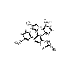 CCNC(=O)Nc1ncc(-c2cncc(C(=O)O)c2)c(-c2nc(C(F)(F)F)cs2)c1-c1cncc(C(=O)O)c1